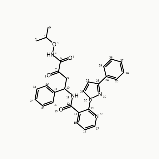 CC(C)ONC(=O)C(=O)CC(NC(=O)c1cccnc1-n1ccc(-c2ccccc2)n1)c1ccccc1